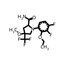 CCOc1c(N2CC(OC)(C(F)(F)F)CC2C(N)=O)ccc(F)c1F